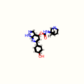 O=C(N[C@@H]1CN2CCC1CC2)Oc1cc(-c2ccc(O)cc2)nc2[nH]ncc12